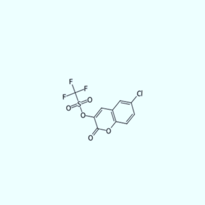 O=c1oc2ccc(Cl)cc2cc1OS(=O)(=O)C(F)(F)F